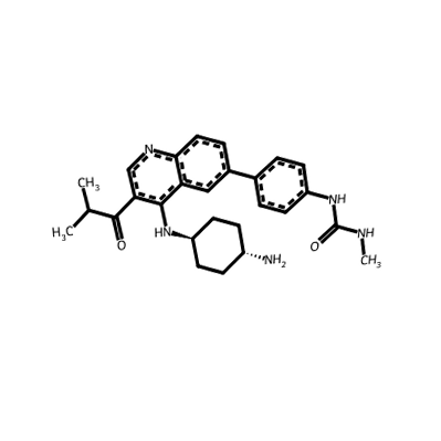 CNC(=O)Nc1ccc(-c2ccc3ncc(C(=O)C(C)C)c(N[C@H]4CC[C@H](N)CC4)c3c2)cc1